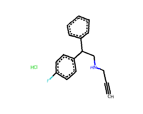 C#CCNCC(c1ccccc1)c1ccc(F)cc1.Cl